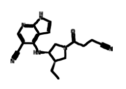 CC[C@@H]1CN(C(=O)CCC#N)C[C@@H]1Nc1c(C#N)cnc2[nH]ccc12